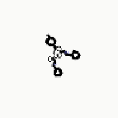 Cc1ccc([C@H](COC(=O)/C=C/c2ccccc2)OC(=O)/C=C/c2ccccc2)cc1